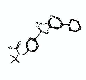 CC(C)(C)N(Cc1ccc(C(=O)Nc2cc(-c3ccccc3)cnc2N)cc1)C(=O)O